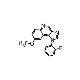 COc1ccc2ncc3ncn(-c4ccccc4F)c3c2c1